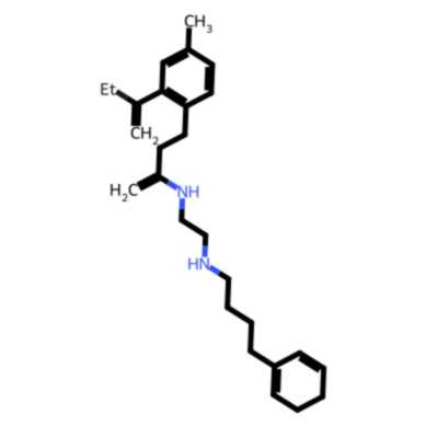 C=C(CCc1ccc(C)cc1C(=C)CC)NCCNCCCCC1=CCCC=C1